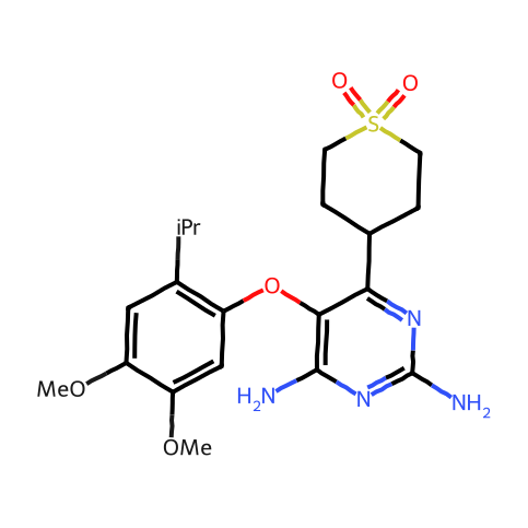 COc1cc(Oc2c(N)nc(N)nc2C2CCS(=O)(=O)CC2)c(C(C)C)cc1OC